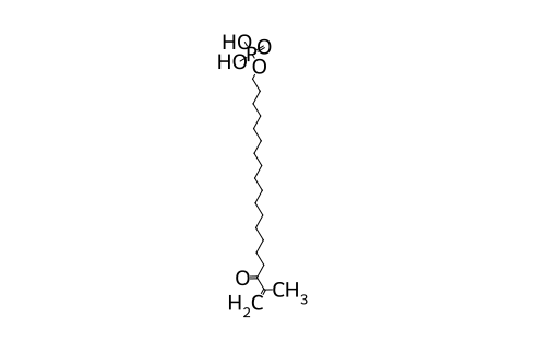 C=C(C)C(=O)CCCCCCCCCCCCCCCCOP(=O)(O)O